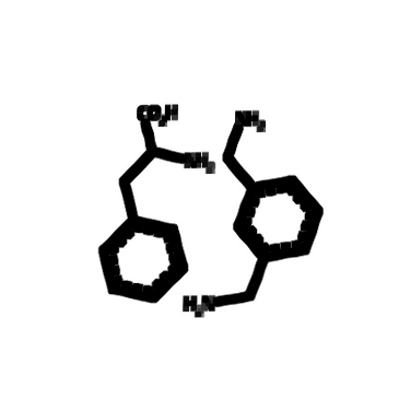 NC(Cc1ccccc1)C(=O)O.NCc1cccc(CN)c1